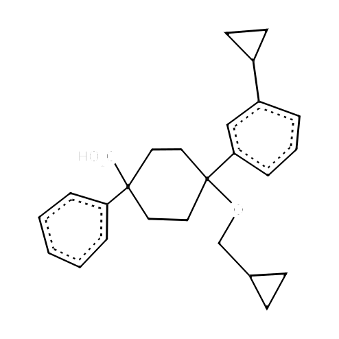 O=C(O)C1(c2ccccc2)CCC(OCC2CC2)(c2cccc(C3CC3)c2)CC1